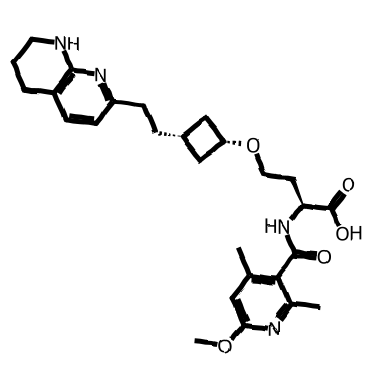 COc1cc(C)c(C(=O)N[C@@H](CCO[C@H]2C[C@@H](CCc3ccc4c(n3)NCCC4)C2)C(=O)O)c(C)n1